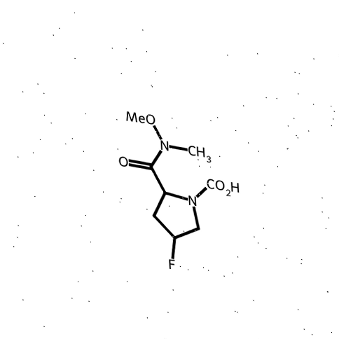 CON(C)C(=O)C1CC(F)CN1C(=O)O